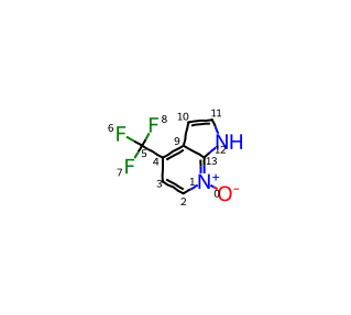 [O-][n+]1ccc(C(F)(F)F)c2cc[nH]c21